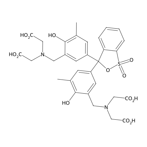 Cc1cc(C2(c3cc(C)c(O)c(CN(CC(=O)O)CC(=O)O)c3)OS(=O)(=O)c3ccccc32)cc(CN(CC(=O)O)CC(=O)O)c1O